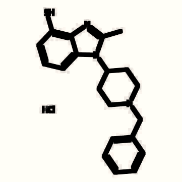 Cc1nc2c(S)cccc2n1C1CCN(Cc2ccccc2)CC1.Cl